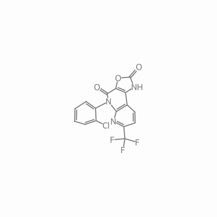 O=c1[nH]c2c(o1)c(=O)n(-c1ccccc1Cl)c1nc(C(F)(F)F)ccc21